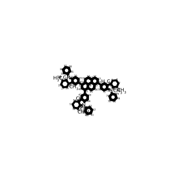 CC1CCCC2(C)c3cc(-c4ccc5ccc6c(-c7ccc8c(c7)C7(C)CCCC(C)C7(C)N8c7ccccc7)cc(-c7ccc8c(c7)C7(C)CCCC(C)C7(C)N8c7ccccc7)c7ccc4c5c67)ccc3N(c3ccccc3)C12C